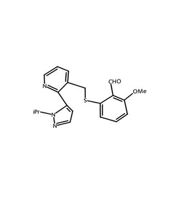 COc1cccc(SCc2cccnc2-c2ccnn2C(C)C)c1C=O